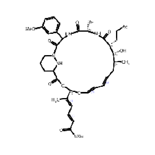 CNC(=O)/C=C/C=C(\C)[C@@H]1C/C=C/C=C/C[C@H](C)[C@@H](O)[C@@H](CCC(C)=O)C(=O)N[C@@H](C(C)C)C(=O)NC(c2cccc(OC)c2)C(=O)N2CCCC(N2)C(=O)O1